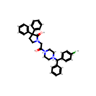 O=C(CN1CCC(c2ccccc2)(c2ccccc2)C1=O)N1CCN(C(c2ccccc2)c2ccc(F)cc2)CC1